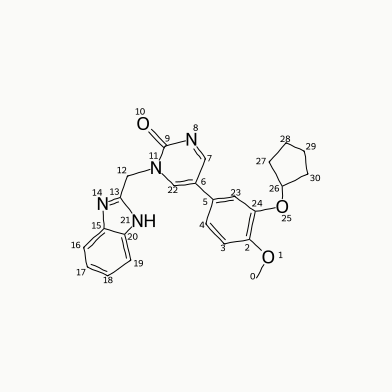 COc1ccc(-c2cnc(=O)n(Cc3nc4ccccc4[nH]3)c2)cc1OC1CCCC1